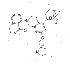 C=CC(=O)C12CCN(c3nc(OC[C@@H]4CCCN4C)nc4c3CCN(c3cccc5cccc(Cl)c35)C4)CC1C2